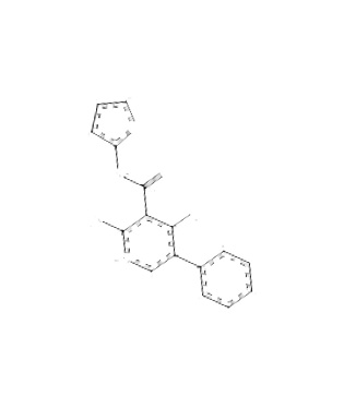 Cc1c(-c2ccccc2)cnc(N)c1C(=O)Nc1ccco1